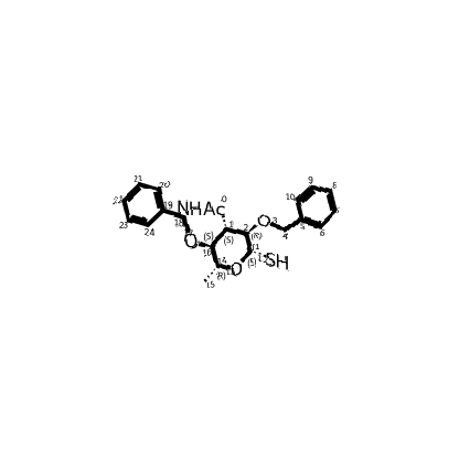 CC(=O)N[C@@H]1[C@@H](OCc2ccccc2)[C@H](S)O[C@H](C)[C@H]1OCc1ccccc1